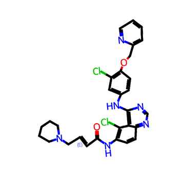 O=C(/C=C/CN1CCCCC1)Nc1ccc2ncnc(Nc3ccc(OCc4ccccn4)c(Cl)c3)c2c1Cl